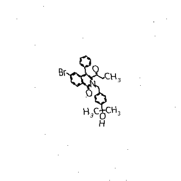 CCC(=O)c1c(-c2ccccc2)c2cc(Br)ccc2c(=O)n1Cc1ccc(C(C)(C)O)cc1